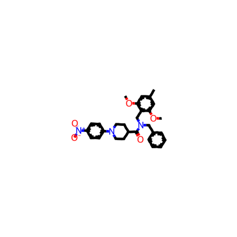 COc1cc(C)cc(OC)c1CN(Cc1ccccc1)C(=O)C1CCN(c2ccc([N+](=O)[O-])cc2)CC1